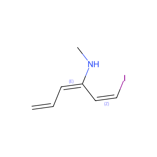 C=C/C=C(\C=C/I)NC